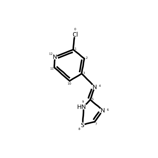 Clc1cc(N=c2ncs[nH]2)ccn1